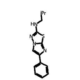 CC(C)CNc1nn2cc(-c3ccccc3)nc2s1